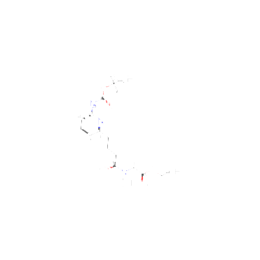 CCOC(=O)CN(C)C(=O)CCCc1cccc(NC(=O)OC(C)(C)C)n1